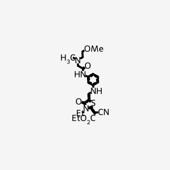 CCOC(=O)C(C#N)=c1sc(=CNc2cccc(NC(=O)CN(C)CCOC)c2)c(=O)n1CC